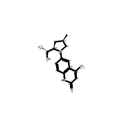 C[C@@H]1C[C@H]([C@H](O)C(F)(F)F)N(c2ccc3[nH]c(=O)cc(C(F)(F)F)c3c2)C1